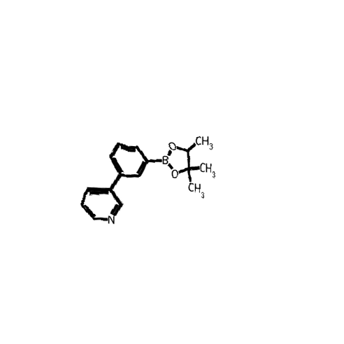 CC1OB(c2cccc(-c3cccnc3)c2)OC1(C)C